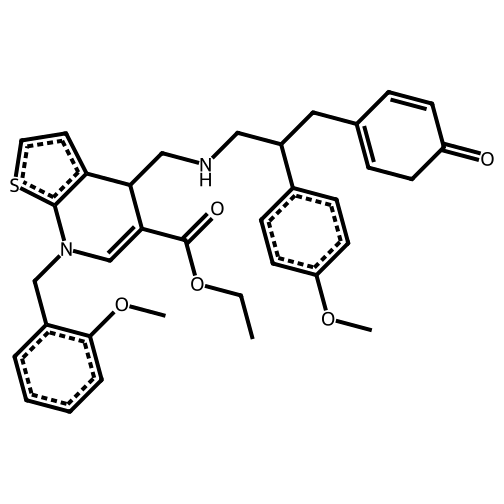 CCOC(=O)C1=CN(Cc2ccccc2OC)c2sccc2C1CNCC(CC1=CCC(=O)C=C1)c1ccc(OC)cc1